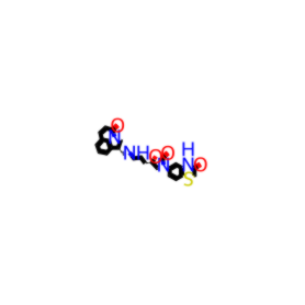 O=C1CSc2ccc(N3C[C@H](CCCNC[C@H]4Cn5c(=O)ccc6cccc4c65)OC3=O)cc2N1